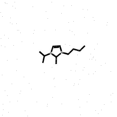 CCCCN1C=CN(C(C)C)C1C